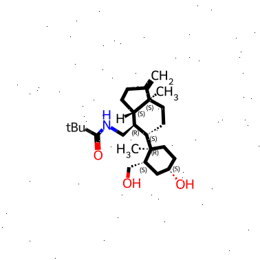 C=C1CC[C@H]2[C@H](CNC(=O)C(C)(C)C)[C@@H]([C@@]3(C)CC[C@H](O)C[C@@H]3CO)CC[C@]12C